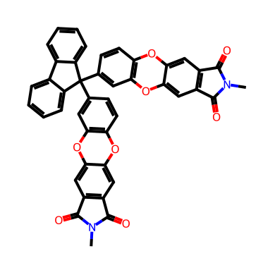 Cn1c(=O)c2cc3oc4ccc(C5(c6ccc7oc8cc9c(=O)n(C)c(=O)c9cc8oc7c6)c6ccccc6-c6ccccc65)cc4oc3cc2c1=O